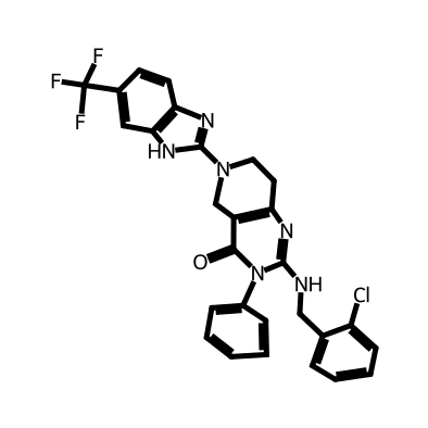 O=c1c2c(nc(NCc3ccccc3Cl)n1-c1ccccc1)CCN(c1nc3ccc(C(F)(F)F)cc3[nH]1)C2